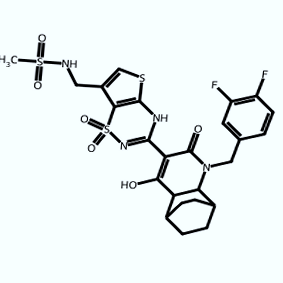 CS(=O)(=O)NCc1csc2c1S(=O)(=O)N=C(C1=C(O)C3C4CCC(CC4)C3N(Cc3ccc(F)c(F)c3)C1=O)N2